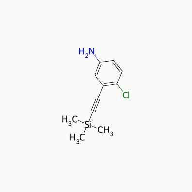 C[Si](C)(C)C#Cc1cc(N)ccc1Cl